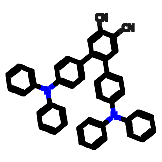 N#Cc1cc(-c2ccc(N(c3ccccc3)c3ccccc3)cc2)c(-c2ccc(N(c3ccccc3)c3ccccc3)cc2)cc1C#N